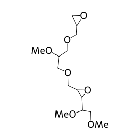 COCC(OC)C1OC1COCC(COCC1CO1)OC